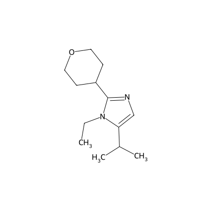 CCn1c(C(C)C)cnc1C1CCOCC1